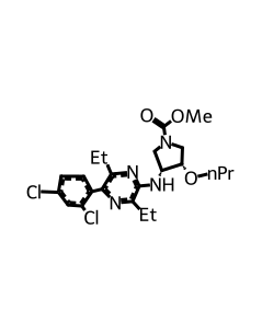 CCCO[C@H]1CN(C(=O)OC)C[C@H]1Nc1nc(CC)c(-c2ccc(Cl)cc2Cl)nc1CC